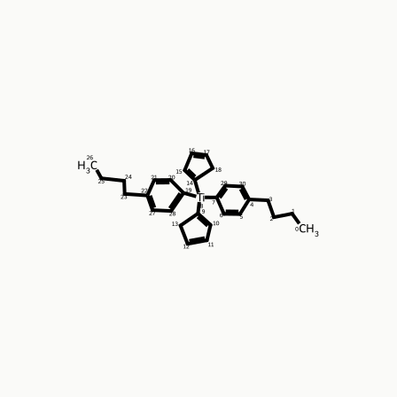 CCCCc1cc[c]([Ti]([C]2=CC=CC2)([C]2=CC=CC2)[c]2ccc(CCCC)cc2)cc1